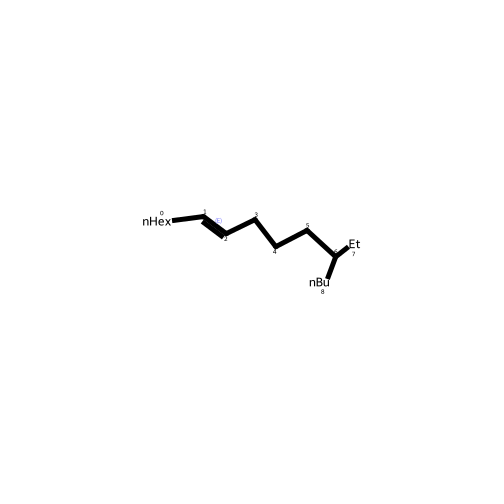 [CH2]CCCCC/C=C/CCCC(CC)CCC[CH2]